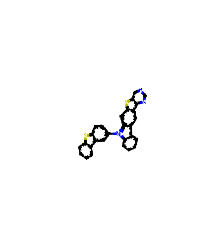 c1ccc2c(c1)sc1ccc(-n3c4ccccc4c4cc5c(cc43)sc3cncnc35)cc12